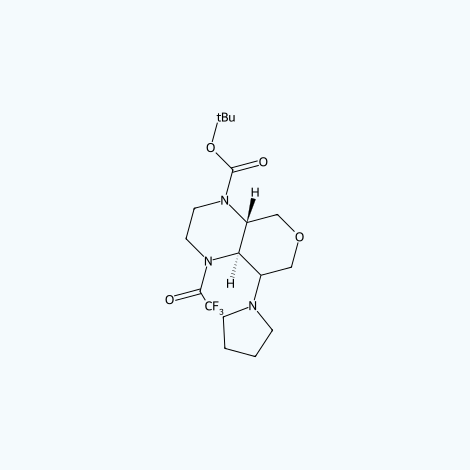 CC(C)(C)OC(=O)N1CCN(C(=O)C(F)(F)F)[C@@H]2C(N3CCCC3)COC[C@H]21